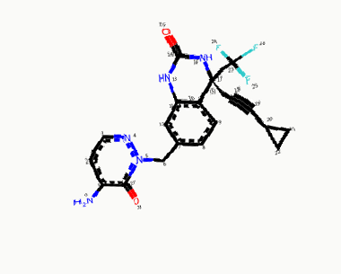 Nc1ccnn(Cc2ccc3c(c2)NC(=O)N[C@]3(C#CC2CC2)C(F)(F)F)c1=O